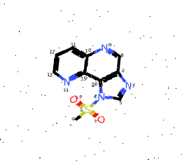 CS(=O)(=O)n1cnc2cnc3cccnc3c21